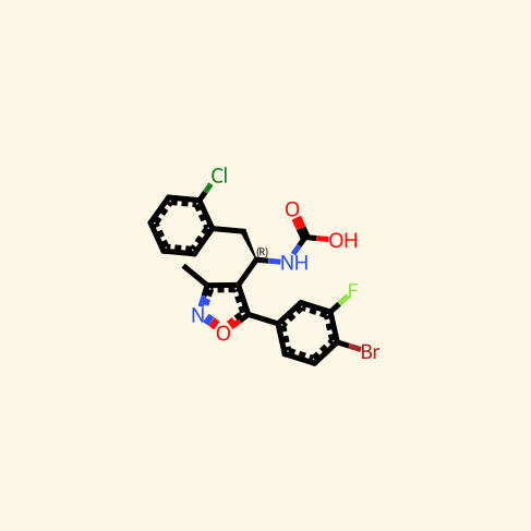 Cc1noc(-c2ccc(Br)c(F)c2)c1[C@@H](Cc1ccccc1Cl)NC(=O)O